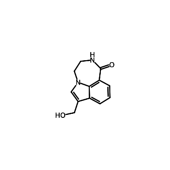 O=C1NCCn2cc(CO)c3cccc1c32